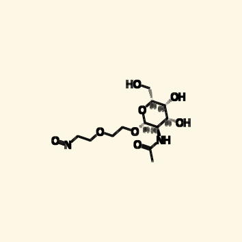 CC(=O)N[C@H]1[C@H](OCCOCCN=O)O[C@H](CO)[C@H](O)[C@@H]1O